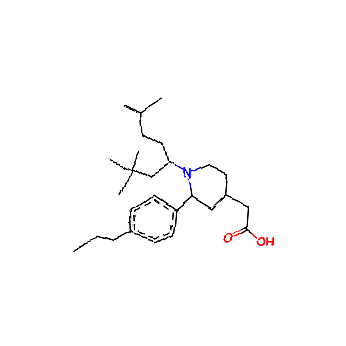 CCCc1ccc(C2CC(CC(=O)O)CCN2C(CCC(C)C)CC(C)(C)C)cc1